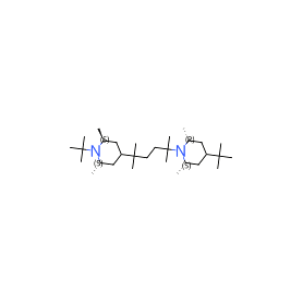 C[C@@H]1CC(C(C)(C)C)C[C@H](C)N1C(C)(C)CCC(C)(C)C1C[C@H](C)N(C(C)(C)C)[C@@H](C)C1